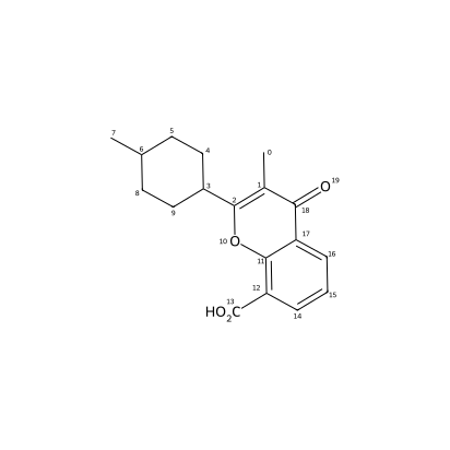 Cc1c(C2CCC(C)CC2)oc2c(C(=O)O)cccc2c1=O